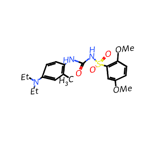 CCN(CC)c1ccc(NC(=O)NS(=O)(=O)c2cc(OC)ccc2OC)c(C)c1